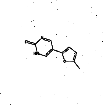 Cc1ccc(-c2cnc(=O)[nH]c2)o1